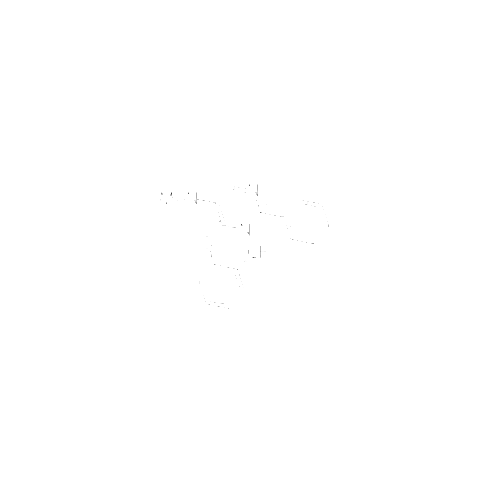 CNc1cnc(-c2ccccc2)nc1Oc1ccccc1C